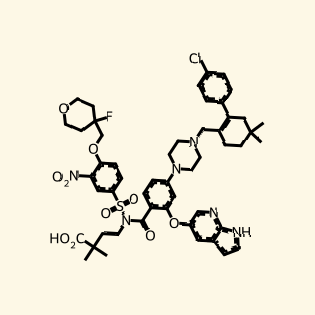 CC1(C)CCC(CN2CCN(c3ccc(C(=O)N(CCC(C)(C)C(=O)O)S(=O)(=O)c4ccc(OCC5(F)CCOCC5)c([N+](=O)[O-])c4)c(Oc4cnc5[nH]ccc5c4)c3)CC2)=C(c2ccc(Cl)cc2)C1